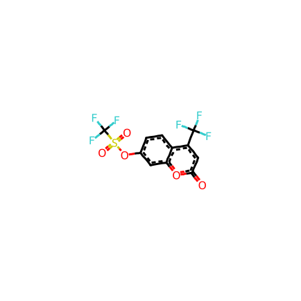 O=c1cc(C(F)(F)F)c2ccc(OS(=O)(=O)C(F)(F)F)cc2o1